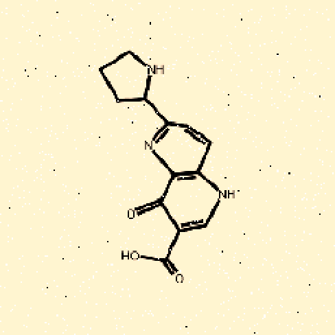 O=C(O)c1c[nH]c2ccc(C3CCCN3)nc2c1=O